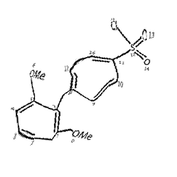 COc1cccc(OC)c1-c1ccc(S(=O)(=O)Cl)cc1